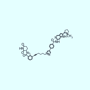 CN1CCC[C@@H]1c1cc2cnc(NC(=O)c3ccc(-c4cnn(CCCCC#Cc5cccc6c5CN(C5CCC(=O)NC5=O)C6=O)c4)cc3)cc2[nH]1